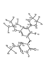 COC(=O)[C@H](Cc1cc(O[Si](C(C)C)(C(C)C)C(C)C)cc(B2OC(C)(C)C(C)(C)O2)c1F)NC(=O)OC(C)(C)C